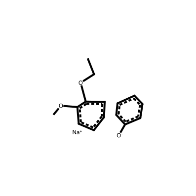 CCOc1ccccc1OC.[Na+].[O-]c1ccccc1